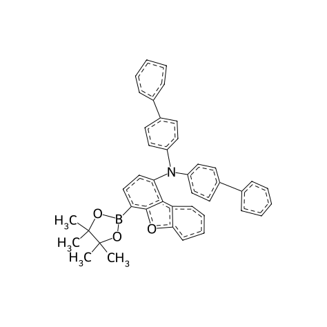 CC1(C)OB(c2ccc(N(c3ccc(-c4ccccc4)cc3)c3ccc(-c4ccccc4)cc3)c3c2oc2ccccc23)OC1(C)C